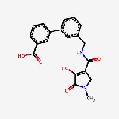 CN1CC(C(=O)NCc2cccc(-c3cccc(C(=O)O)c3)c2)=C(O)C1=O